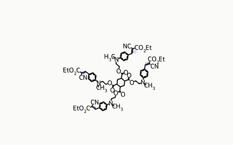 CCOC(=O)/C(C#N)=C/c1ccc(N(C)CCOC(=O)C2CC(C(=O)OCCN(C)c3ccc(/C=C(\C#N)C(=O)OCC)cc3)C(C(=O)OCCN(C)c3ccc(/C=C(\C#N)C(=O)OCC)cc3)CC2C(=O)OCCN(C)c2ccc(/C=C(\C#N)C(=O)OCC)cc2)cc1